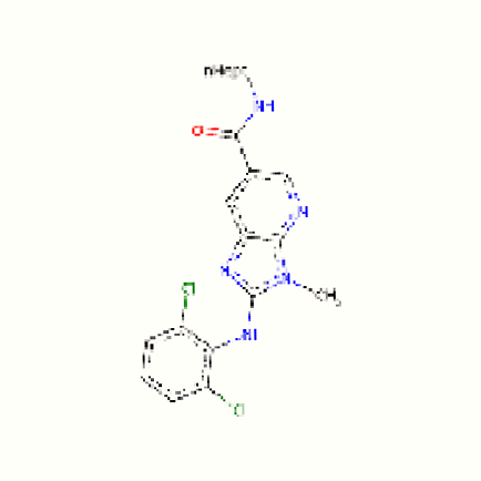 CCCCCCCNC(=O)c1cnc2c(c1)nc(Nc1c(Cl)cccc1Cl)n2C